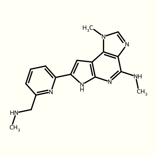 CNCc1cccc(-c2cc3c(nc(NC)c4ncn(C)c43)[nH]2)n1